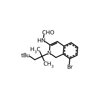 CC(C)(C)CC(C)(C)N1Cc2c(Br)cccc2C=C1NC=O